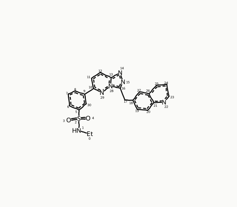 CCNS(=O)(=O)c1cccc(-c2ccc3nnc(Cc4ccc5ncccc5c4)n3n2)c1